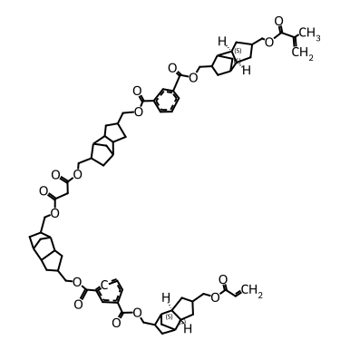 C=CC(=O)OCC1C[C@@H]2C3CC(CC3COC(=O)c3cccc(C(=O)OCC4CC5C6CC(COC(=O)CC(=O)OCC7CC8CC7C7CC(COC(=O)c9cccc(C(=O)OCC%10CC%11CC%10[C@H]%10CC(COC(=O)C(=C)C)C[C@@H]%11%10)c9)CC87)C(C6)C5C4)c3)[C@@H]2C1